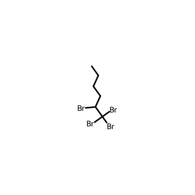 CCCCC(Br)C(Br)(Br)Br